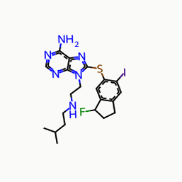 CC(C)CCNCCn1c(Sc2cc3c(cc2I)CCC3F)nc2c(N)ncnc21